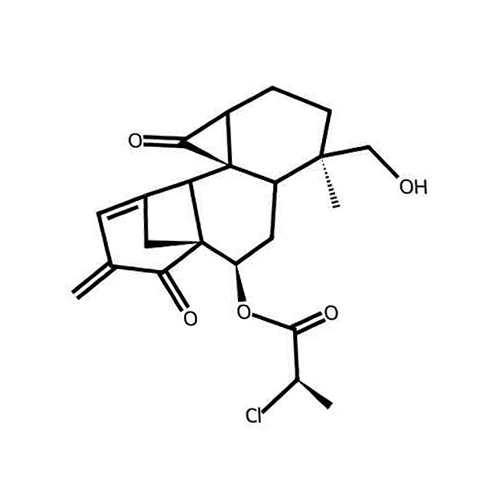 C=C1C=C2C[C@@]3(C1=O)C2[C@]12C(=O)C1CC[C@@](C)(CO)C2C[C@H]3OC(=O)[C@@H](C)Cl